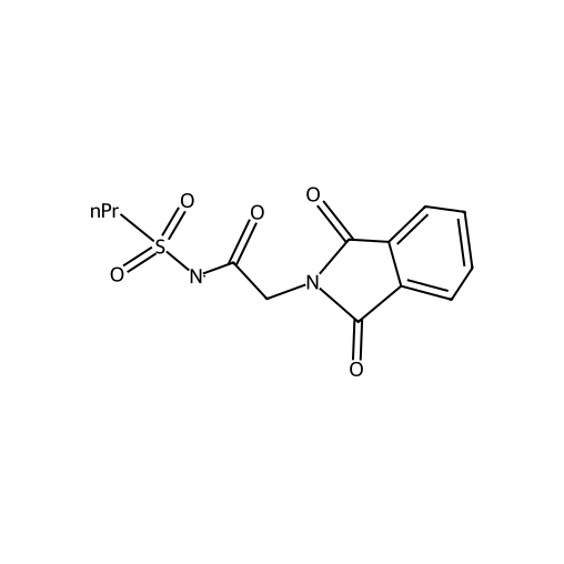 CCCS(=O)(=O)[N]C(=O)CN1C(=O)c2ccccc2C1=O